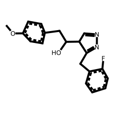 COc1ccc(CC(O)C2C=NN=C2Cc2ccccc2F)cc1